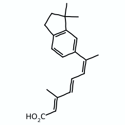 C/C(=C/C=C/C(C)=C/C(=O)O)c1ccc2c(c1)C(C)(C)CC2